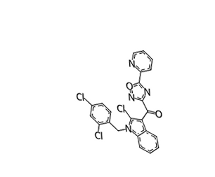 O=C(c1noc(-c2ccccn2)n1)c1c(Cl)n(Cc2ccc(Cl)cc2Cl)c2ccccc12